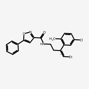 CC/C=C(/CCNC(=O)c1cc(-c2ccccc2)on1)c1cc(Cl)ccc1C